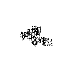 CC(=O)OCC(NC(=O)N[C@H](C(=O)N1C[C@H]2[C@@H]([C@H]1C(=O)NC(CC1CCC1)C(=O)C(C)=O)C2(Cl)Cl)C1CCCCC1)C(C)(C)C